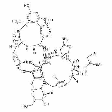 CN[C@H](CC(C)C)C(=O)N[C@H]1C(=O)N[C@@H](CC(N)=O)C(=O)N[C@H]2C(=N)N[C@H]3C(=O)N[C@H](C(=O)N[C@H](C(=O)O)c4cc(O)cc(O)c4-c4cc3ccc4O)[C@H](O)c3ccc(c(Cl)c3)Oc3cc2cc(c3O[C@H]2OC(CO)C(O)[C@H](O)C2O[C@H]2CC(C)(N)[C@H](O)C(C)O2)Oc2ccc(cc2Cl)[C@H]1O